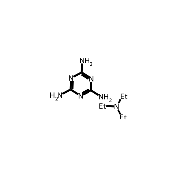 CCN(CC)CC.Nc1nc(N)nc(N)n1